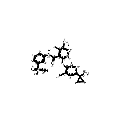 Cc1c(C(F)(F)F)nnc(Oc2nnc(C3(C#N)CC3)cc2F)c1C(=O)Nc1cccc(S(C)(=N)=O)c1